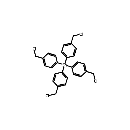 ClCc1cc[c]([Sn]([c]2ccc(CCl)cc2)([c]2ccc(CCl)cc2)[c]2ccc(CCl)cc2)cc1